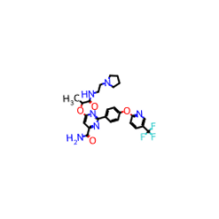 CC(Oc1cc(C(N)=O)nc(-c2ccc(Oc3ccc(C(F)(F)F)cn3)cc2)n1)C(=O)NCCN1CCCC1